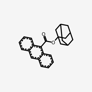 O=C(OC12CC3CC(CC(C3)C1)C2)c1c2ccccc2cc2ccccc12